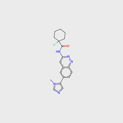 Cn1cncc1-c1ccc2nnc(NC(=O)C3(F)CCCCC3)cc2c1